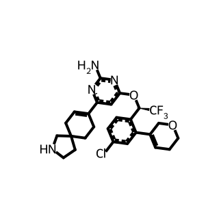 Nc1nc(O[C@H](c2ccc(Cl)cc2C2=CCCOC2)C(F)(F)F)cc(C2=CCC3(CCNC3)CC2)n1